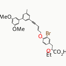 CCO[C@@H](Cc1ccc(OC/C=C/C#Cc2cc(C)cc(-c3cc(OC)cc(OC)c3)c2)c(Br)c1)C(=O)O